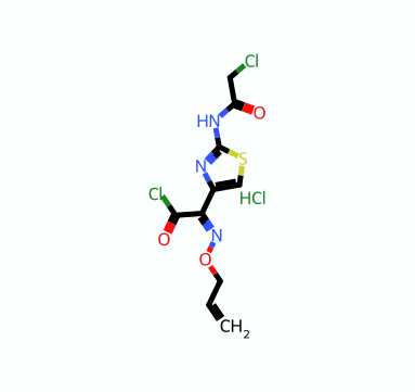 C=CCON=C(C(=O)Cl)c1csc(NC(=O)CCl)n1.Cl